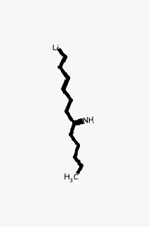 [Li][CH2]CCCCCC(=N)CCCCC